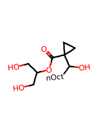 CCCCCCCCC(O)C1(C(=O)OC(CO)CO)CC1